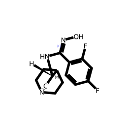 O/N=C(/N[C@H]1CN2CCC1CC2)c1ccc(F)cc1F